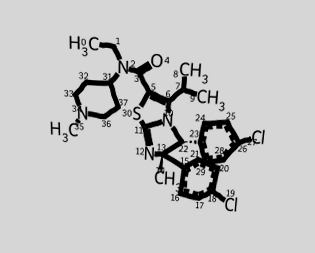 CCN(C(=O)C1=C(C(C)C)N2C(=N[C@@](C)(c3ccc(Cl)cc3)[C@H]2c2ccc(Cl)cc2)S1)C1CCN(C)CC1